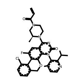 C=CC(=O)N1CCN(c2nc(=O)n(-c3c(C)ccnc3C(C)C)c3c4c(c(F)cc23)-c2c(Cl)cccc2CO4)[C@@H](C)C1